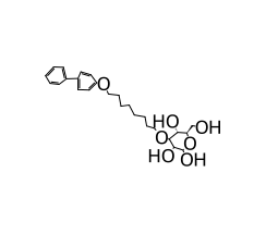 OC[C@H]1OC(O)[C@H](O)[C@@H](OCCCCCCCCOc2ccc(-c3ccccc3)cc2)[C@@H]1O